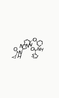 O=C(Nc1cccc(Oc2ccc3nc(NC(=O)C4CC4)cn3n2)c1)c1cccs1